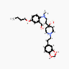 CCCCOc1ccc(N(C)CCC2(O)CCN(CCc3ccc4c(c3)OCO4)CC2)c(CO)c1